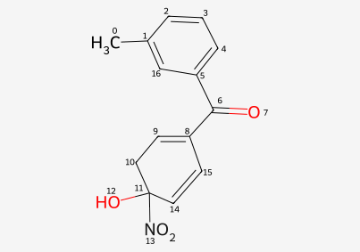 Cc1cccc(C(=O)C2=CCC(O)([N+](=O)[O-])C=C2)c1